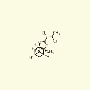 CC(C)[C@@H](Cl)B1O[C@@H]2C[C@@H]3C[C@@H](C3(C)C)[C@]2(C)O1